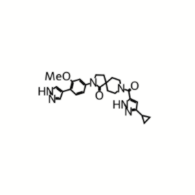 COc1cc(N2CCC3(CCN(C(=O)c4cc(C5CC5)n[nH]4)CC3)C2=O)ccc1-c1cn[nH]c1